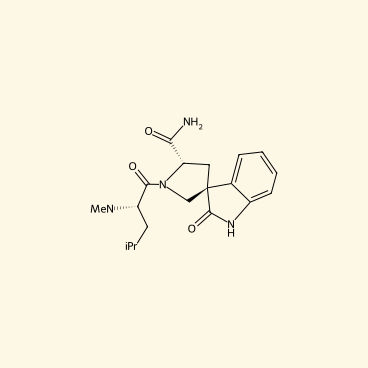 CN[C@@H](CC(C)C)C(=O)N1C[C@]2(C[C@H]1C(N)=O)C(=O)Nc1ccccc12